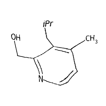 Cc1ccnc(CO)c1C(C)C